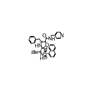 CC[C@H](C)[C@H](NS(=O)(=O)c1cccc2ccccc12)C(=O)N[C@@H](Cc1ccccc1)C(=O)C(=O)NCc1ccncc1